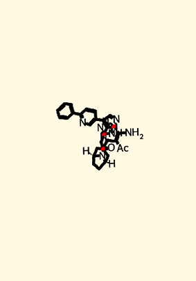 CC(=O)c1c(C2C[C@H]3CC[C@@H](C2)N3C(=O)Cc2nnn[nH]2)nc2c(-c3ccc(-c4ccccc4)nc3)cnn2c1N